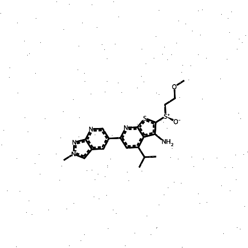 COCC[S@@+]([O-])c1sc2nc(-c3cnc4nn(C)cc4c3)cc(C(C)C)c2c1N